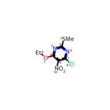 CCOc1nc(SC)nc(Cl)c1[N+](=O)[O-]